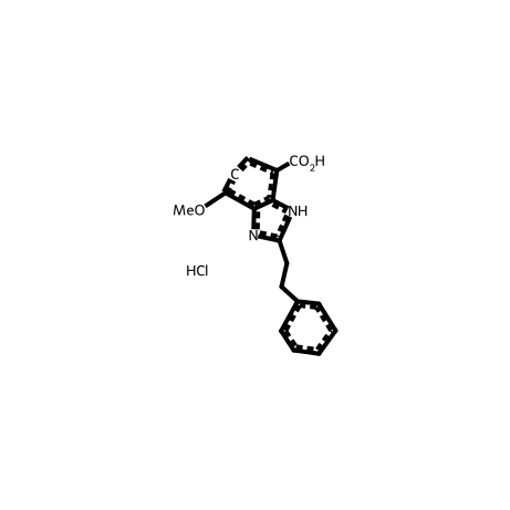 COc1ccc(C(=O)O)c2[nH]c(CCc3ccccc3)nc12.Cl